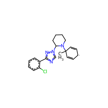 CC1(N2CCCCC2n2cnc(-c3ccccc3Cl)n2)C=C[CH]C=C1